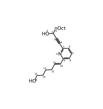 CCCCCCCCC(O)C#Cc1cccc(C=CCCCCO)n1